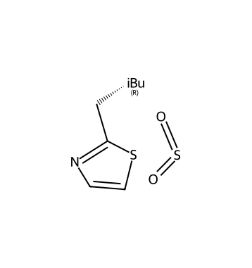 CC[C@@H](C)Cc1nccs1.O=S=O